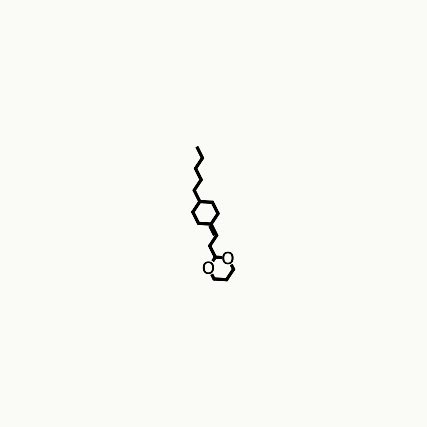 CCCCCC1CCC(=CCC2OCCCO2)CC1